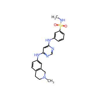 CNS(=O)(=O)c1cccc(Nc2cc(Nc3ccc4c(c3)CN(C)CC4)ncn2)c1